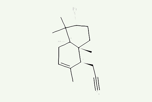 CC1=CC[C@H]2C(C)(C)[C@H](Br)CC[C@]2(C)[C@H]1CC#N